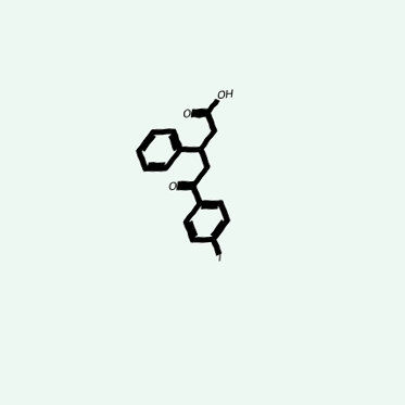 O=C(O)CC(CC(=O)c1ccc(I)cc1)c1ccccc1